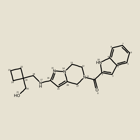 O=C(c1cc2ccccc2[nH]1)N1CCn2nc(NCC3(CO)CCC3)cc2C1